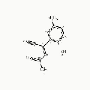 Cc1cccc(/C(C#N)=C/C(=O)O)c1.[KH]